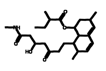 CCC(C)C(=O)OC1CC(C)C=C2C=CC(C)C(CCC(=O)CC(O)CC(=O)NC)C21